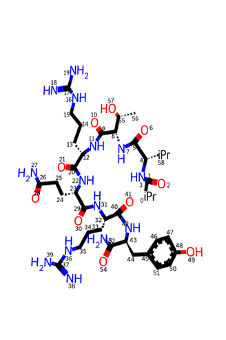 CC(C)C(=O)N[C@H](C(=O)N[C@H](C(=O)N[C@@H](CCCNC(=N)N)C(=O)N[C@@H](CCC(N)=O)C(=O)N[C@@H](CCCNC(=N)N)C(=O)N[C@@H](Cc1ccc(O)cc1)C(N)=O)[C@@H](C)O)C(C)C